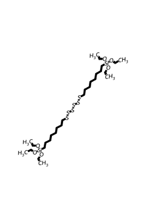 CCO[Si](CCCCCCCCSSSSSSCCCCCCCC[Si](OCC)(OCC)OCC)(OCC)OCC